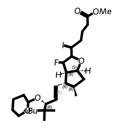 CCCCC(C)(C)[C@@H](/C=C/[C@@H]1[C@H]2C(F)C(C(I)CCCC(=O)OC)O[C@H]2C[C@H]1C)OC1CCCCO1